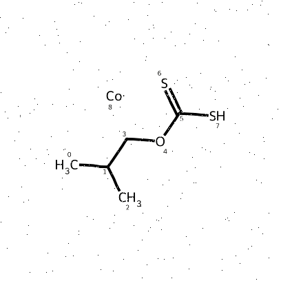 CC(C)COC(=S)S.[Co]